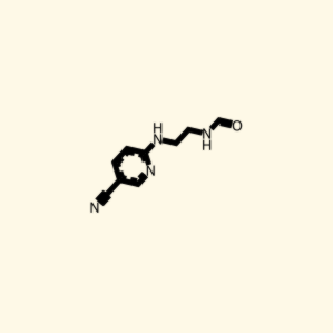 N#Cc1ccc(NCCNC=O)nc1